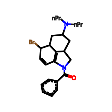 CCCN(CCC)C1CC2CN(C(=O)c3ccccc3)C3=C2C(C1)C(Br)C=C3